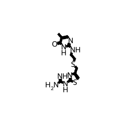 Cc1cnc(NCCSCc2csc(NC(=N)N)n2)[nH]c1=O